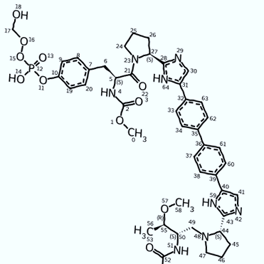 COC(=O)N[C@@H](Cc1ccc(OP(=O)(O)OOCO)cc1)C(=O)N1CCC[C@H]1c1ncc(-c2ccc(-c3ccc(-c4cnc([C@@H]5CCCN5C[C@H](NC(=O)O)[C@@H](C)OC)[nH]4)cc3)cc2)[nH]1